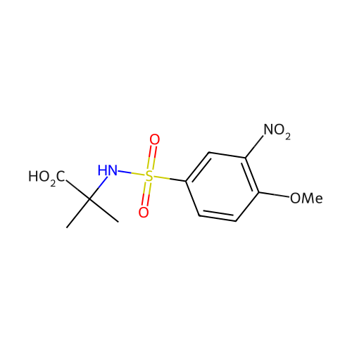 COc1ccc(S(=O)(=O)NC(C)(C)C(=O)O)cc1[N+](=O)[O-]